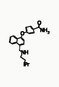 CC(C)CCNCc1ccc(Oc2ccc(C(N)=O)cc2)c2ccccc12